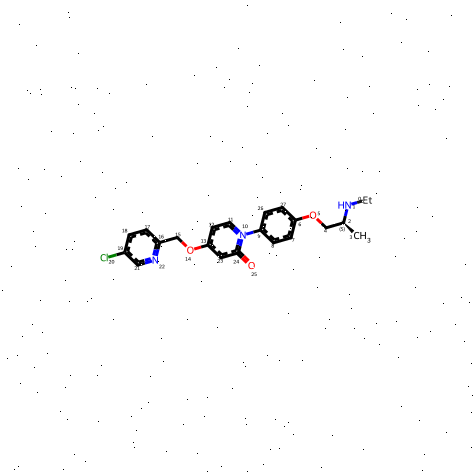 CCN[C@@H](C)COc1ccc(-n2ccc(OCc3ccc(Cl)cn3)cc2=O)cc1